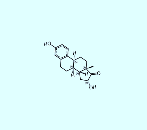 C[C@]12CC[C@@H]3c4ccc(O)cc4CC[C@H]3[C@H]1C[C@@H](O)C2=O